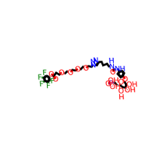 O=C(NCCCCc1cn(CCOCCOCCOCCOCCC(=O)Oc2c(F)c(F)c(F)c(F)c2F)nn1)Nc1ccc(O[C@@H]2O[C@@H](CCP(=O)(O)O)[C@H](O)[C@@H](O)[C@H]2O)cc1